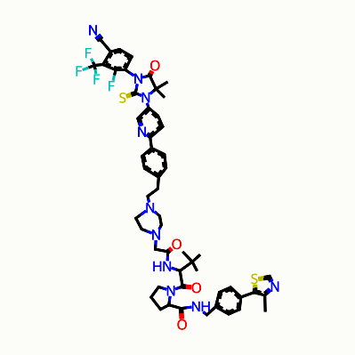 Cc1ncsc1-c1ccc(CNC(=O)C2CCCN2C(=O)C(NC(=O)CN2CCN(CCc3ccc(-c4ccc(N5C(=S)N(c6ccc(C#N)c(C(F)(F)F)c6F)C(=O)C5(C)C)cn4)cc3)CC2)C(C)(C)C)cc1